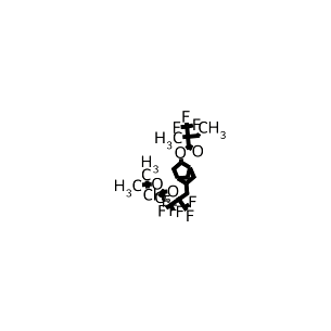 CCC(C)(C(=O)OC1CC2CC1CC2CC(OC(=O)OC(C)(C)C)(C(F)(F)F)C(F)(F)F)C(F)(F)F